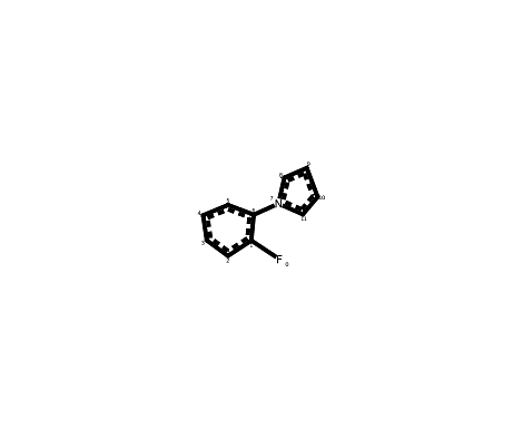 Fc1ccccc1-n1[c]ccc1